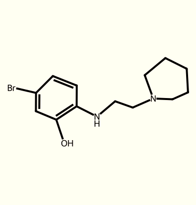 Oc1cc(Br)ccc1NCCN1CCCCC1